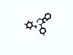 O=C(c1c(F)c(F)c(F)c(F)c1F)N1CCc2c([nH]c3ccccc23)C1c1ccc(Cl)cc1